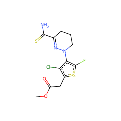 COC(=O)Cc1sc(F)c(N2CCCC(C(N)=S)=N2)c1Cl